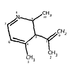 C=C(C)C1C(C)=CC=NC1C